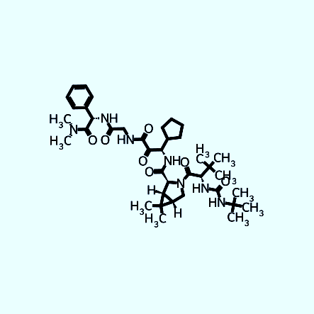 CN(C)C(=O)[C@@H](NC(=O)CNC(=O)C(=O)[C@@H](NC(=O)[C@@H]1[C@@H]2[C@H](CN1C(=O)[C@@H](NC(=O)NC(C)(C)C)C(C)(C)C)C2(C)C)C1CCCC1)c1ccccc1